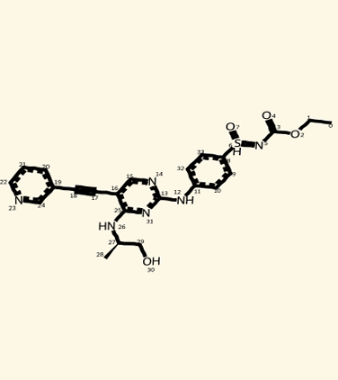 CCOC(=O)/N=[SH](=O)/c1ccc(Nc2ncc(C#Cc3cccnc3)c(N[C@H](C)CO)n2)cc1